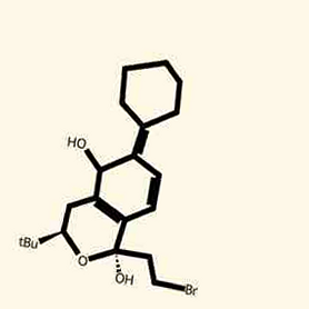 CC(C)(C)[C@H]1CC2=C(C=CC(=C3CCCCC3)C2O)[C@@](O)(CCBr)O1